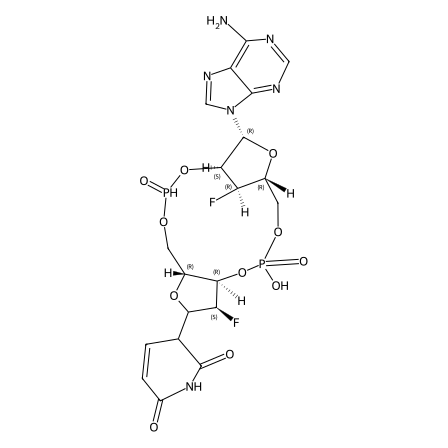 Nc1ncnc2c1ncn2[C@@H]1O[C@@H]2COP(=O)(O)O[C@@H]3[C@@H](CO[PH](=O)O[C@@H]1[C@@H]2F)OC(C1C=CC(=O)NC1=O)[C@@H]3F